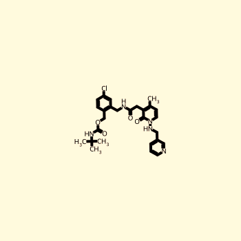 Cc1ccn(NCc2cccnc2)c(=O)c1CC(=O)NCc1cc(Cl)ccc1COC(=O)NC(C)(C)C